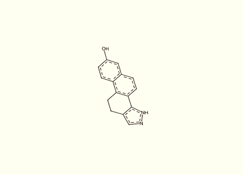 Oc1ccc2c3c(ccc2c1)-c1[nH]ncc1CC3